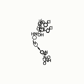 CC(C)[C@@H](CS(=O)(=O)C(C)C)N1C(=O)[C@@](C)(CC(O)N[C@H]2CC[C@H](CN3CCC(C#Cc4ccn5c(N6CCC(=O)NC6=O)cnc5c4)CC3)CC2)C[C@H](c2cccc(Cl)c2)[C@H]1c1ccc(Cl)cc1